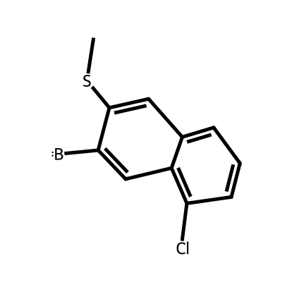 [B]c1cc2c(Cl)cccc2cc1SC